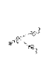 CCC/C=C\C/C=C\C(=O)OCCCCCCCCC(CCCCCCCCOC(=O)/C=C\C/C=C\CCC)OC(=O)CC1CC(CN(C)C)C1